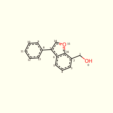 OCc1cccc2c(-c3ccccc3)coc12